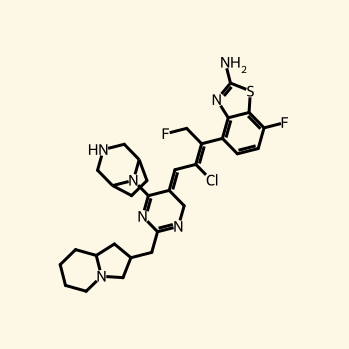 Nc1nc2c(/C(CF)=C(Cl)/C=C3\CN=C(CC4CC5CCCCN5C4)N=C3N3C4CCC3CNC4)ccc(F)c2s1